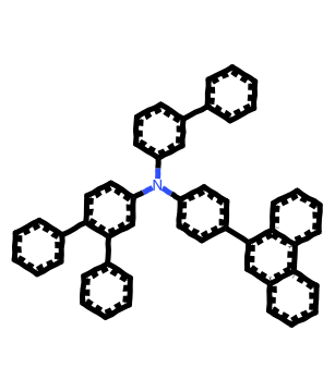 c1ccc(-c2cccc(N(c3ccc(-c4cc5ccccc5c5ccccc45)cc3)c3ccc(-c4ccccc4)c(-c4ccccc4)c3)c2)cc1